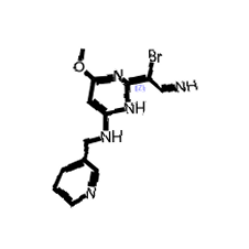 COC1=N/C(=C(\Br)C=N)NC(NCc2cccnc2)=C1